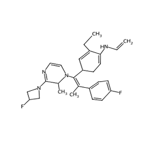 C=CNC1=CCC(/C(=C(/C)c2ccc(F)cc2)N2C=CN=C(N3CC(F)C3)C2C)C=C1CC